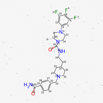 C[C@@H]1CN(c2cc(F)c(F)c(F)c2)CCN1C(=O)NCCC1CCN(Cc2ccc(C(N)=O)cc2)CC1